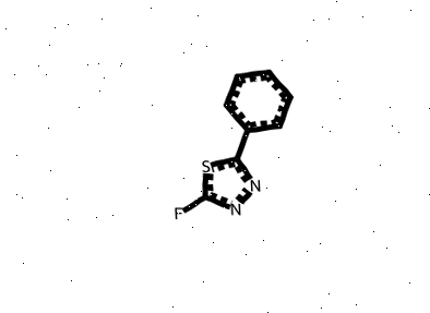 Fc1nnc(-c2ccccc2)s1